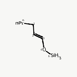 CCCCC=CO[SiH3]